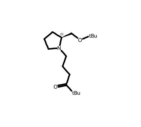 CC(C)(C)OC[C@@H]1CCCN1CCCC(=O)C(C)(C)C